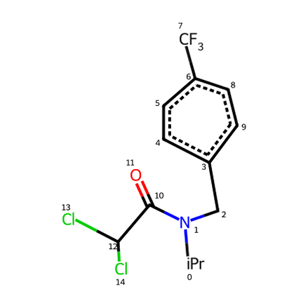 CC(C)N(Cc1ccc(C(F)(F)F)cc1)C(=O)C(Cl)Cl